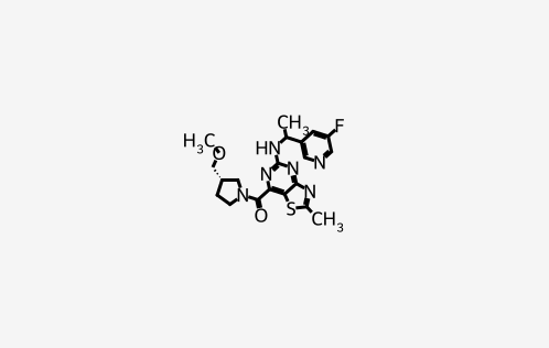 COC[C@H]1CCN(C(=O)c2nc(NC(C)c3cncc(F)c3)nc3nc(C)sc23)C1